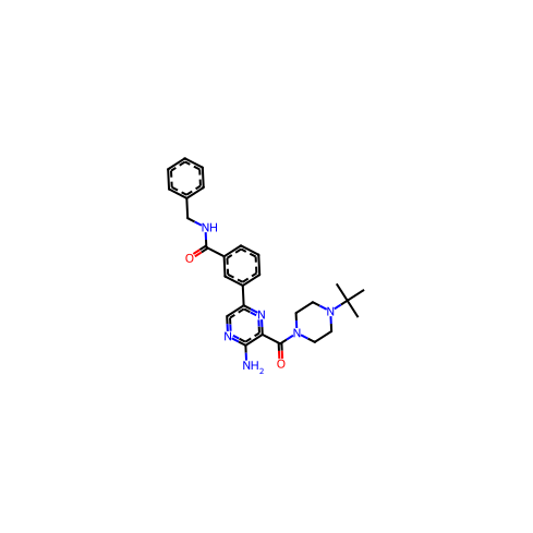 CC(C)(C)N1CCN(C(=O)c2nc(-c3cccc(C(=O)NCc4ccccc4)c3)cnc2N)CC1